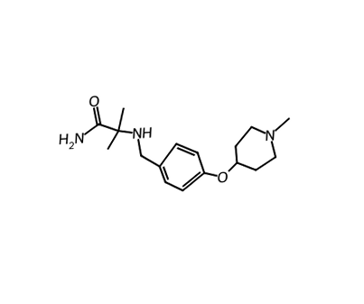 CN1CCC(Oc2ccc(CNC(C)(C)C(N)=O)cc2)CC1